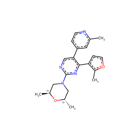 Cc1cc(-c2cnc(N3C[C@H](C)O[C@@H](C)C3)nc2-c2ccoc2C)ccn1